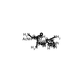 CC(=O)NC[C@H](CCCCN)NC(=O)NC[C@H](Cc1c[nH]c2ccccc12)NC(=O)NC[C@H](CCCCN)NC(=O)NC[C@@H](NC(=O)NC[C@H](Cc1c[nH]c2ccccc12)NC(=O)NC[C@H](CCCCN)NC(=O)NC[C@@H](NC(=O)NC(C)C)C(C)C)C(C)C